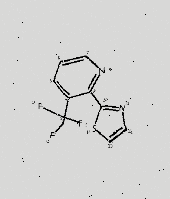 FC(F)(F)c1cccnc1-c1nc[c]s1